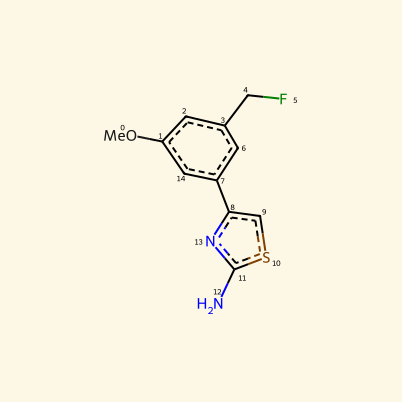 COc1cc(CF)cc(-c2csc(N)n2)c1